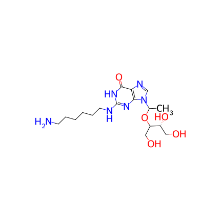 CC(OC(CO)[C@H](O)CO)n1cnc2c(=O)[nH]c(NCCCCCCN)nc21